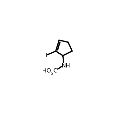 O=C(O)NC1CCC=C1I